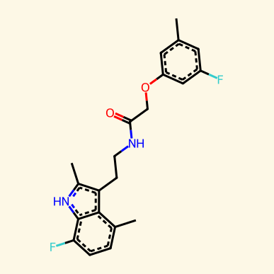 Cc1cc(F)cc(OCC(=O)NCCc2c(C)[nH]c3c(F)ccc(C)c23)c1